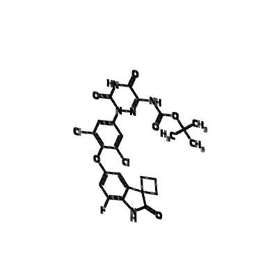 CC(C)(C)OC(=O)Nc1nn(-c2cc(Cl)c(Oc3cc(F)c4c(c3)C3(CCC3)C(=O)N4)c(Cl)c2)c(=O)[nH]c1=O